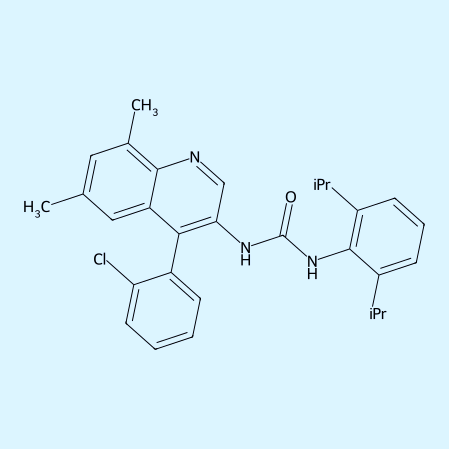 Cc1cc(C)c2ncc(NC(=O)Nc3c(C(C)C)cccc3C(C)C)c(-c3ccccc3Cl)c2c1